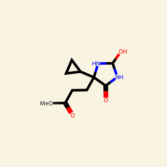 COC(=O)CCC1(C2CC2)NC(O)NC1=O